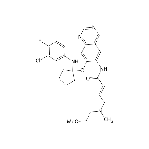 COCCN(C)CC=CC(=O)Nc1cc2cncnc2cc1OC1(Nc2ccc(F)c(Cl)c2)CCCC1